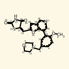 COc1ccc(CN2CCOCC2)cc1-c1cncc2cc(C=C3SC(=O)NC3=O)oc12